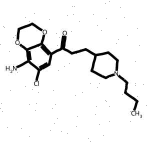 CCCCN1CCC(CCC(=O)c2cc(Cl)c(N)c3c2OCCO3)CC1